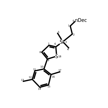 CCCCCCCCCCCC[Si](C)(C)c1ccc(-c2cc(C)ccc2C)s1